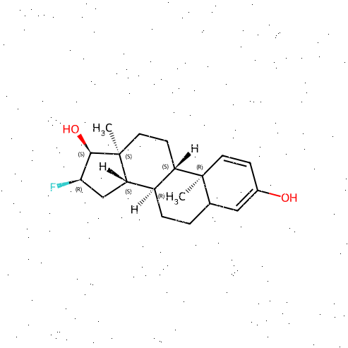 C[C@]12CC[C@H]3[C@@H](CCC4C=C(O)C=C[C@@]43C)[C@@H]1C[C@@H](F)[C@H]2O